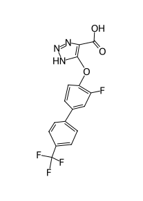 O=C(O)c1nn[nH]c1Oc1ccc(-c2ccc(C(F)(F)F)cc2)cc1F